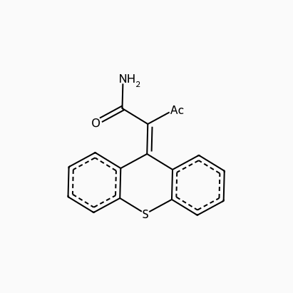 CC(=O)C(C(N)=O)=C1c2ccccc2Sc2ccccc21